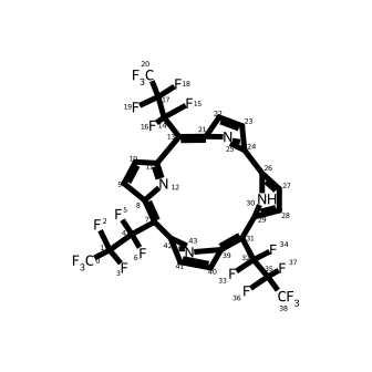 FC(F)(F)C(F)(F)C(F)(F)C1=C2C=CC(=N2)C(C(F)(F)C(F)(F)C(F)(F)F)=C2C=CC(=N2)c2ccc([nH]2)C(C(F)(F)C(F)(F)C(F)(F)F)=C2C=CC1=N2